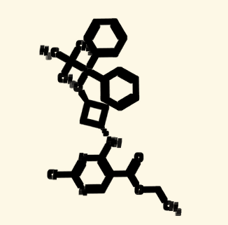 CCOC(=O)c1cnc(Cl)nc1N[C@H]1C[C@H](O[Si](c2ccccc2)(c2ccccc2)C(C)(C)C)C1